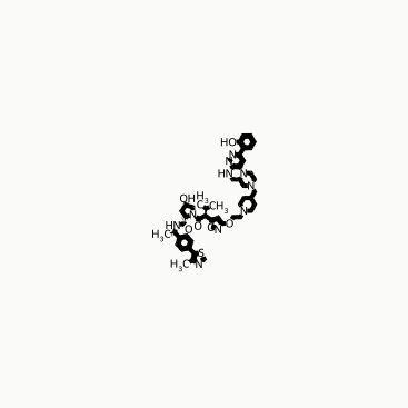 Cc1ncsc1-c1ccc([C@H](C)NC(=O)[C@@H]2C[C@@H](O)CN2C(=O)[C@H](c2cc(OCCN3CCC(CN4CCN5c6cc(-c7ccccc7O)nnc6NCC5C4)CC3)no2)C(C)C)cc1